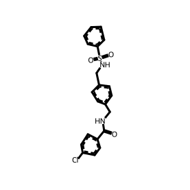 O=C(NCc1ccc(CNS(=O)(=O)c2ccccc2)cc1)c1ccc(Cl)cc1